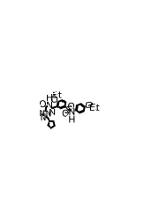 CCOc1ccc(NS(=O)(=O)c2ccc(OCC)c(-c3nn4c(C5CCCC5)nnc4c(=O)[nH]3)c2)cc1